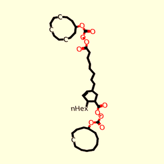 CCCCCCC1C=CC(CCCCCCCC(=O)OOC(=O)OC2CCCCCCCCCCC2)CC1C(=O)OOC(=O)OC1CCCCCCCCCCC1